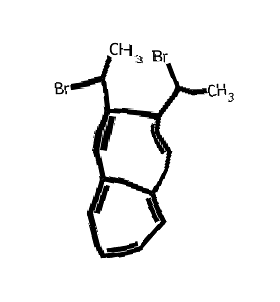 CC(Br)c1cc2ccccc2cc1C(C)Br